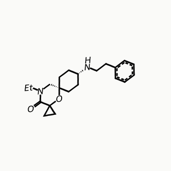 CCN1C[C@]2(CC[C@@H](NCCc3ccccc3)CC2)OC2(CC2)C1=O